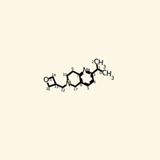 CC(C)c1ccc2c(n1)CCN(CC1COC1)C2